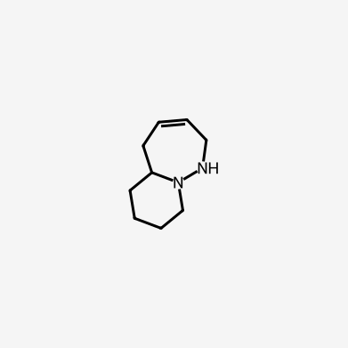 C1=CCC2CCCCN2NC1